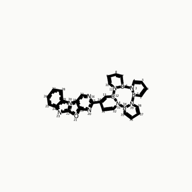 C1=CB2N(C=C1)B1C=CC=CN1B1C=C(c3ncc4c(n3)oc3nc5ccccc5n34)C=CN1B1C=CC=CN21